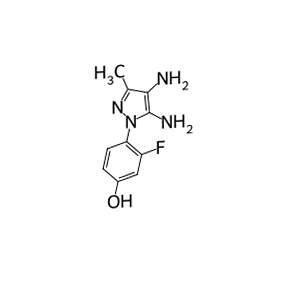 Cc1nn(-c2ccc(O)cc2F)c(N)c1N